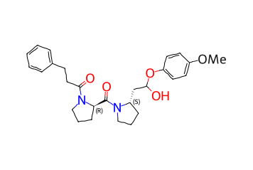 COc1ccc(OC(O)C[C@@H]2CCCN2C(=O)[C@H]2CCCN2C(=O)CCc2ccccc2)cc1